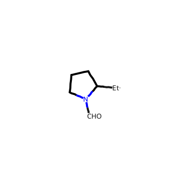 C[CH]C1CCCN1C=O